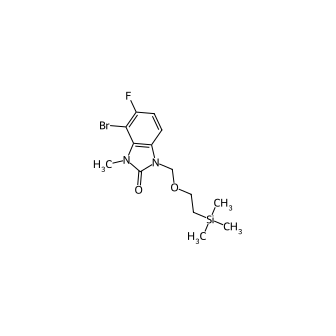 Cn1c(=O)n(COCC[Si](C)(C)C)c2ccc(F)c(Br)c21